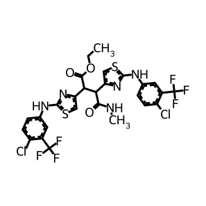 CCOC(=O)C(c1csc(Nc2ccc(Cl)c(C(F)(F)F)c2)n1)C(C(=O)NC)c1csc(Nc2ccc(Cl)c(C(F)(F)F)c2)n1